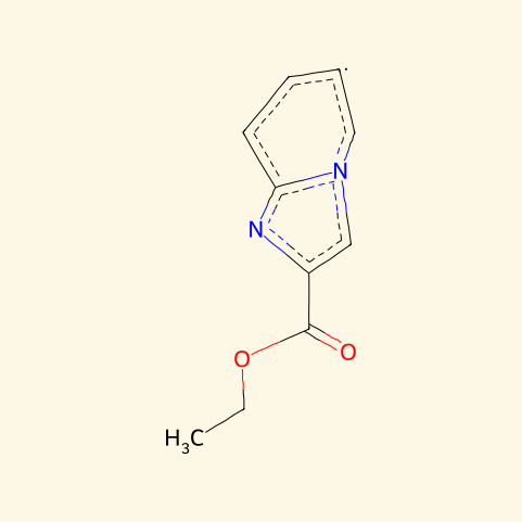 CCOC(=O)c1cn2c[c]ccc2n1